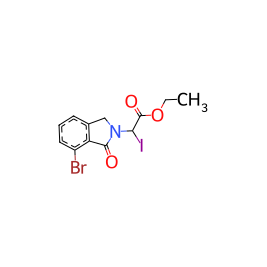 CCOC(=O)C(I)N1Cc2cccc(Br)c2C1=O